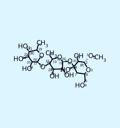 CO[C@@H]1OC(CO)C[C@](O)(O[C@@H]2OC(C)[C@H](O[C@@H]3OC(C)[C@H](O)[C@H](O)C3O)[C@H](O)C2O)C1O